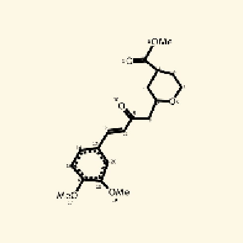 COC(=O)C1CCOC(CC(=O)/C=C/c2ccc(OC)c(OC)c2)C1